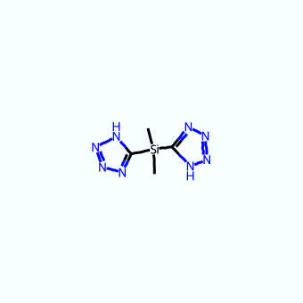 C[Si](C)(c1nnn[nH]1)c1nnn[nH]1